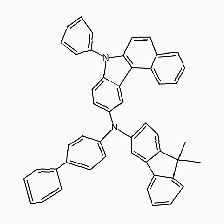 CC1(C)c2ccccc2-c2cc(N(c3ccc(-c4ccccc4)cc3)c3ccc4c(c3)c3c5ccccc5ccc3n4-c3ccccc3)ccc21